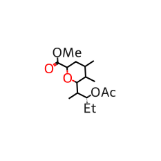 CC[C@@H](OC(C)=O)C(C)C1OC(C(=O)OC)CC(C)C1C